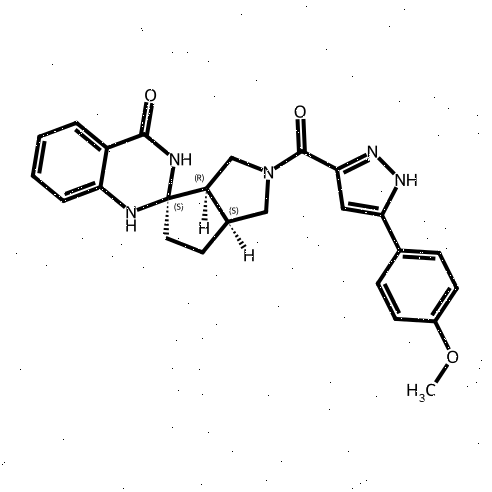 COc1ccc(-c2cc(C(=O)N3C[C@H]4CC[C@]5(NC(=O)c6ccccc6N5)[C@H]4C3)n[nH]2)cc1